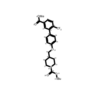 COC(=O)c1ccc(C(F)(F)F)c(-c2ccc(OCC3CCN(C(=O)OC(C)(C)C)CC3)cc2)c1